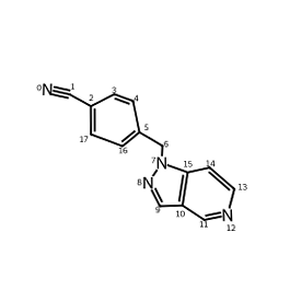 N#Cc1ccc(Cn2ncc3cnccc32)cc1